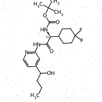 CCCC(O)c1ccnc(NC(=O)[C@@H](NC(=O)OC(C)(C)C)C2CCC(F)(F)CC2)c1